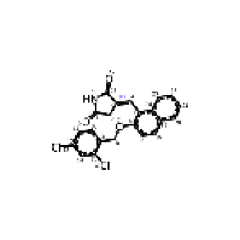 O=C1C/C(=C\c2c(OCc3ccc(Cl)cc3Cl)ccc3ccccc23)C(=O)N1